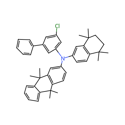 CC1(C)CCC(C)(C)c2cc(N(c3cc(Cl)cc(-c4ccccc4)c3)c3ccc4c(c3)C(C)(C)c3ccccc3C4(C)C)ccc21